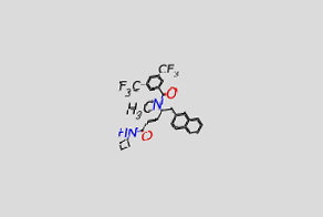 CN(C(=O)c1cc(C(F)(F)F)cc(C(F)(F)F)c1)C(C=CC(=O)NC1CCC1)Cc1ccc2ccccc2c1